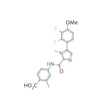 COc1ccc(-c2cnc(C(=O)Nc3ccc(C(=O)O)c(C)c3)n2C)c(F)c1F